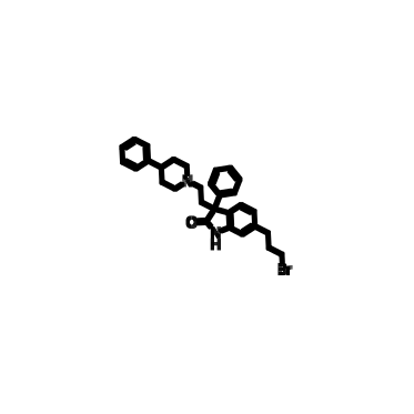 O=C1Nc2cc(CCCBr)ccc2C1(CCN1CCC(c2ccccc2)CC1)c1ccccc1